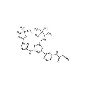 C=CC(=O)Nc1cccc(-c2cc(CNC(C)C(C)(C)C)cc(Nc3ccn(C(=O)OC(C)(C)C)n3)n2)c1